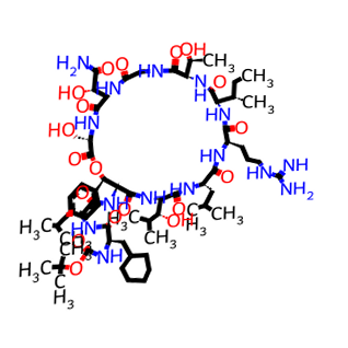 CC[C@H](C)[C@@H]1NC(=O)[C@@H](CCCNC(=N)N)NC(=O)[C@H](CC(C)C)NC(=O)[C@H]([C@H](O)C(C)C)NC(=O)[C@@H](NC(=O)[C@H](CC(C)C)NC(=O)[C@@H](CC2CCCCC2)NC(=O)OC(C)(C)C)[C@@H](c2ccccc2)OC(=O)[C@H](CO)NC(=O)[C@H]([C@H](O)C(N)=O)NC(=O)CNC(=O)[C@H]([C@H](C)O)NC1=O